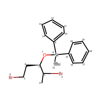 CC(Br)[C@@H](CCBr)O[Si](c1ccccc1)(c1ccccc1)C(C)(C)C